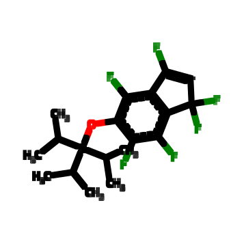 CC(C)[Si](Oc1c(F)c(F)c2c(c1F)C(F)=[C]C2(F)F)(C(C)C)C(C)C